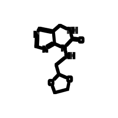 O=C1NCc2cncnc2N1NCC1OCCO1